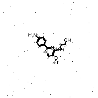 CCOc1cnc(-c2ccc(N)cc2)nc1NCCO